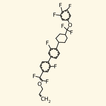 C=CCO/C(F)=C(\F)c1ccc(-c2ccc(C3CCC(C(F)(F)Oc4cc(F)c(F)c(F)c4)CC3)c(F)c2)c(F)c1